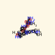 C#CCNC1(C)CCN(C2CCN(c3nc(C(COCNC(=O)CNC(=O)C(CC(N)=O)NC(C)=O)(OC4CC4)c4ccccc4)c4cc(-c5cn(C)c(=O)c6[nH]ccc56)ccc4n3)CC2)CC1